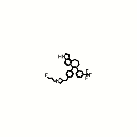 FCCCN1CC(Cc2ccc(C3=C(c4cccc(C(F)(F)F)c4)CCCc4c3ccc3[nH]ccc43)cc2)C1